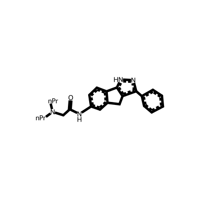 CCCN(CCC)CC(=O)Nc1ccc2c(c1)Cc1c(-c3ccccc3)n[nH]c1-2